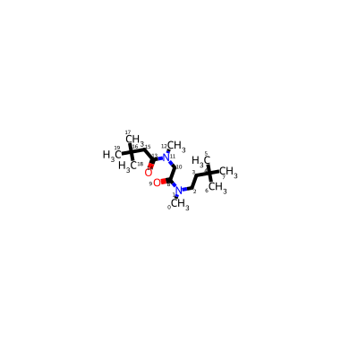 CN(CCC(C)(C)C)C(=O)CN(C)C(=O)CC(C)(C)C